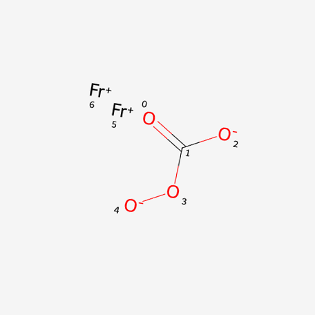 O=C([O-])O[O-].[Fr+].[Fr+]